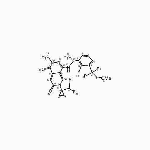 COCC(F)(F)c1cccc([C@@H](C)Nc2nn(C)c(=O)c3cc(=O)n(C4(C(F)F)CC4)cc23)c1F